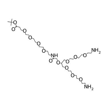 CC(C)(C)OC(=O)CCOCCOCCOCCOCCNC(=O)COC(COCCOCCOCCN)COCCOCCOCCN